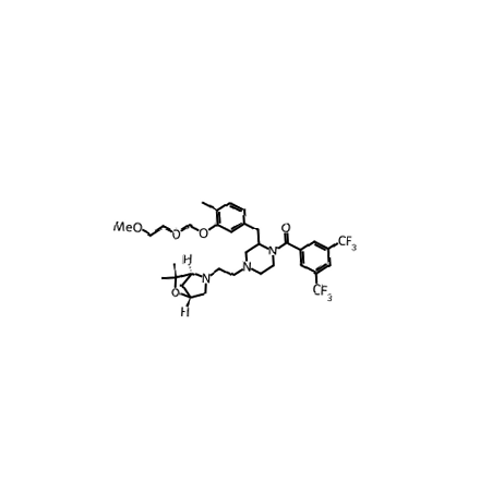 COCCOCOc1cc(CC2CN(CCN3C[C@H]4C[C@H]3C(C)(C)O4)CCN2C(=O)c2cc(C(F)(F)F)cc(C(F)(F)F)c2)ccc1C